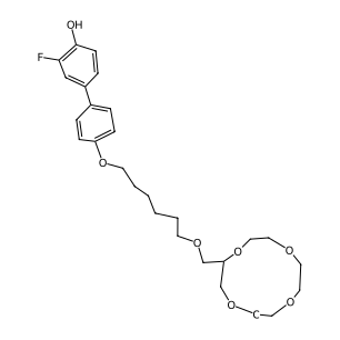 Oc1ccc(-c2ccc(OCCCCCCOCC3COCCOCCOCCO3)cc2)cc1F